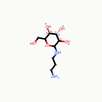 NCCCNC1OC(CO)[C@@H](O)[C@H](O)C1O